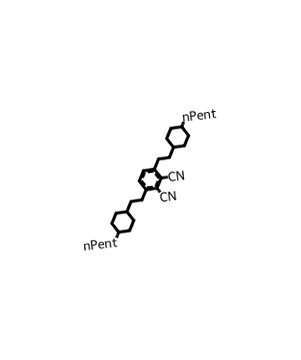 CCCCCC1CCC(CCc2ccc(CCC3CCC(CCCCC)CC3)c(C#N)c2C#N)CC1